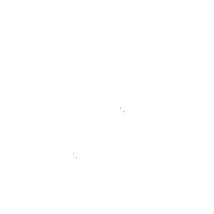 CN(c1ccc(C#N)cc1)c1cccc2c1oc1c(C(F)(F)F)cccc12